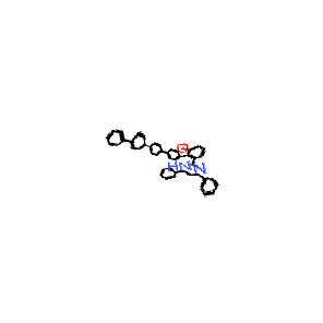 C1=C(c2ccccc2)NC(c2cccc3oc4cc(-c5ccc(-c6ccc(-c7ccccc7)cc6)cc5)ccc4c23)N=C1c1ccccc1